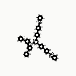 c1ccc(-c2ccc3c(c2)c2cc(-c4ccccc4)ccc2n3-c2nc(-c3ccc(-c4ccc(-c5nc6ccccc6o5)cc4)cc3)nc(-c3ccc(-c4ccc(-c5nc6ccccc6o5)cc4)cc3)n2)cc1